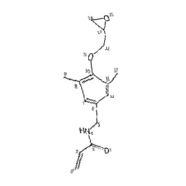 C=CC(=O)NCc1cc(C)c(OCC2CO2)c(C)c1